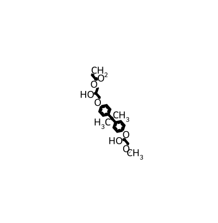 C=CC(=O)OCC(O)COc1ccc(C(C)(C)c2ccc(OC(O)COC)cc2)cc1